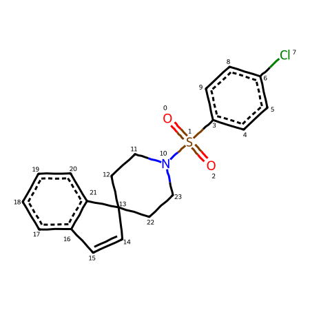 O=S(=O)(c1ccc(Cl)cc1)N1CCC2(C=Cc3ccccc32)CC1